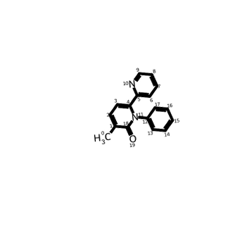 Cc1ccc(-c2ccccn2)n(-c2ccccc2)c1=O